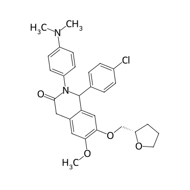 COc1cc2c(cc1OC[C@@H]1CCCO1)C(c1ccc(Cl)cc1)N(c1ccc(N(C)C)cc1)C(=O)C2